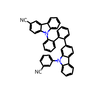 N#Cc1cccc(-n2c3ccccc3c3ccc(-c4ccccc4-c4ccccc4-n4c5ccccc5c5cc(C#N)ccc54)cc32)c1